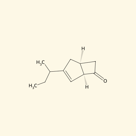 CCC(C)C1=C[C@@H]2C(=O)C[C@@H]2C1